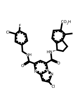 Cc1c(C(=O)O)ccc2c1CC[C@@H]2NC(=O)c1cc(C(=O)NCc2ccc(F)c(Cl)c2)nc2cc(Cl)nn12